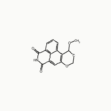 COC1OCOc2cc3c4c(cccc4c21)C(=O)NC3=O